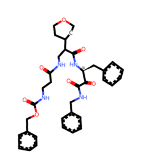 O=C(CCNC(=O)OCc1ccccc1)NCC(C(=O)N[C@@H](Cc1ccccc1)C(=O)C(=O)NCc1ccccc1)C1CCOCC1